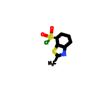 Cc1nc2cccc(S(=O)(=O)Cl)c2s1